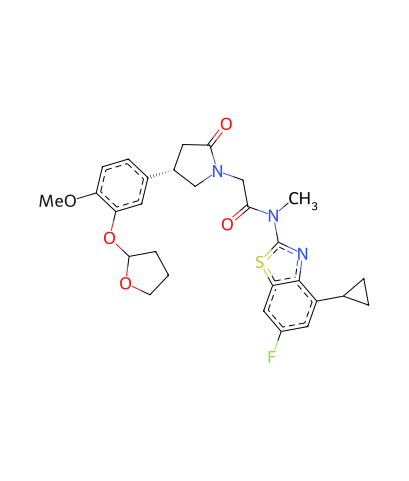 COc1ccc([C@@H]2CC(=O)N(CC(=O)N(C)c3nc4c(C5CC5)cc(F)cc4s3)C2)cc1OC1CCCO1